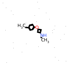 CCN[C@H]1C[C@@H](Oc2ccc(CC)cc2)C1